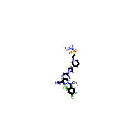 CNS(=O)(=O)CCN1CCC[C@H](C2CN(c3cnc4c(C#N)nn([C@H](C)c5ccc(Cl)cc5Cl)c4n3)C2)C1